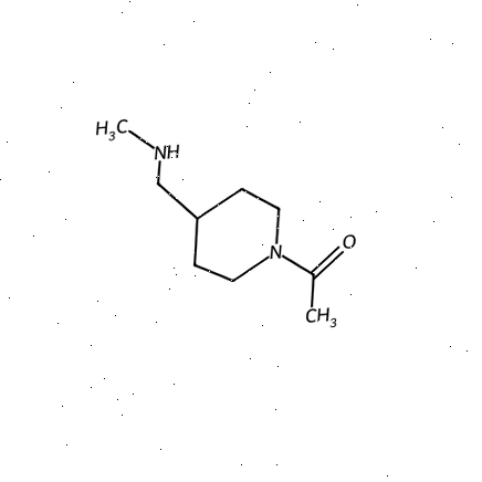 CNCC1CCN(C(C)=O)CC1